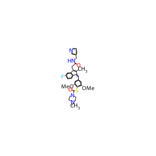 COc1cc(/C=C2/C(C)=C(CC(=O)NCc3cccnc3)c3cc(F)ccc32)cc(OC)c1SC(=O)N1CCN(C)CC1